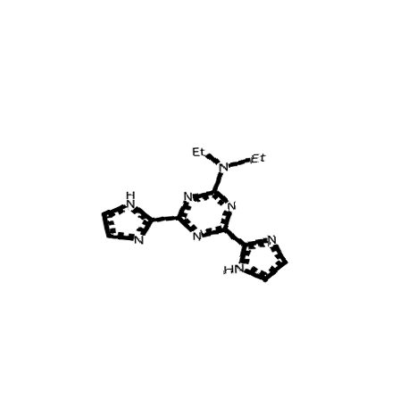 CCN(CC)c1nc(-c2ncc[nH]2)nc(-c2ncc[nH]2)n1